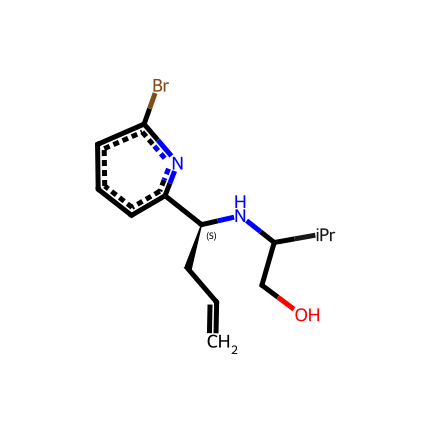 C=CC[C@H](NC(CO)C(C)C)c1cccc(Br)n1